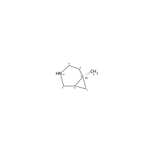 C[C@@]12CCNCC1C2